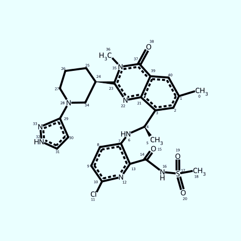 Cc1cc([C@@H](C)Nc2ccc(Cl)nc2C(=O)NS(C)(=O)=O)c2nc([C@@H]3CCCN(c4cc[nH]n4)C3)n(C)c(=O)c2c1